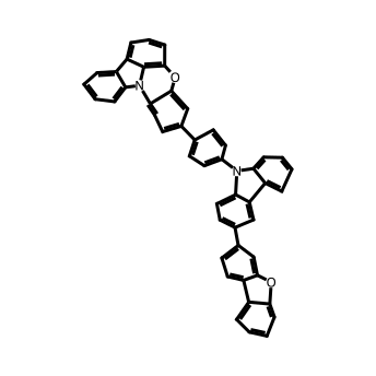 c1ccc2c(c1)oc1cc(-c3ccc4c(c3)c3ccccc3n4-c3ccc(-c4ccc5c(c4)Oc4cccc6c7ccccc7n-5c46)cc3)ccc12